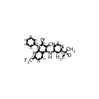 CP(C)(=O)c1cc(Nc2c(C#N)c(=O)n(-c3ccccc3)c3nc(C(F)(F)F)ccc23)ccn1